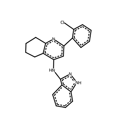 Clc1ccccc1-c1cc(Nc2n[nH]c3ccccc23)c2c(n1)CCCC2